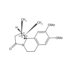 COc1cc2c(cc1OC)[C@@]13C[C@H](C)[C@@H](C)[C@@H]1CC(=O)N3CC2